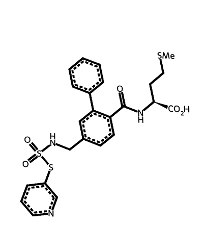 CSCC[C@H](NC(=O)c1ccc(CNS(=O)(=O)Sc2cccnc2)cc1-c1ccccc1)C(=O)O